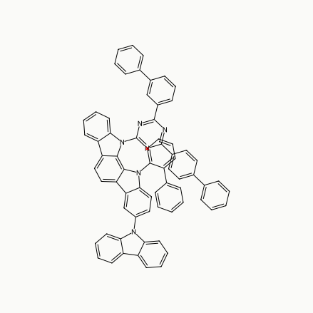 c1ccc(-c2ccc(-c3nc(-c4cccc(-c5ccccc5)c4)nc(-n4c5ccccc5c5ccc6c7cc(-n8c9ccccc9c9ccccc98)ccc7n(-c7ccccc7-c7ccccc7)c6c54)n3)cc2)cc1